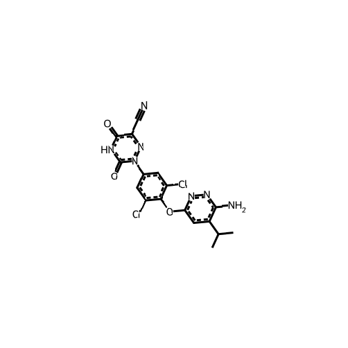 CC(C)c1cc(Oc2c(Cl)cc(-n3nc(C#N)c(=O)[nH]c3=O)cc2Cl)nnc1N